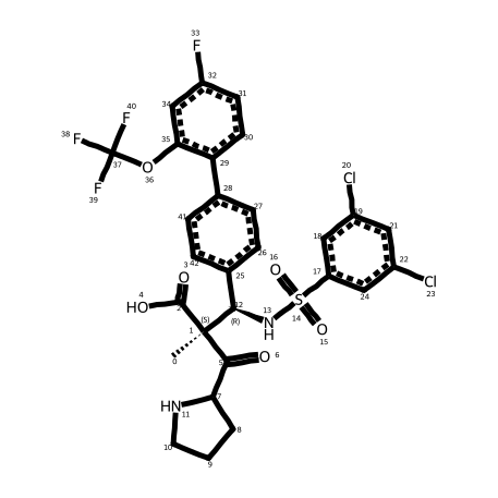 C[C@@](C(=O)O)(C(=O)C1CCCN1)[C@H](NS(=O)(=O)c1cc(Cl)cc(Cl)c1)c1ccc(-c2ccc(F)cc2OC(F)(F)F)cc1